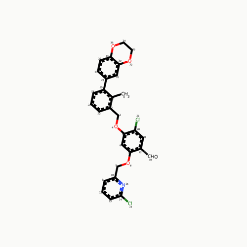 Cc1c(COc2cc(OCc3cccc(Cl)n3)c(C=O)cc2Cl)cccc1-c1ccc2c(c1)OCCO2